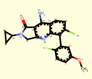 COc1ccc(F)c(-c2c(F)ccc3c(N)c4c(nc23)CN(C2CC2)C4=O)c1